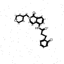 O=C(CCc1ccccc1Cl)Nc1cccc2c(=O)n(CC3CCOCC3)ccc12